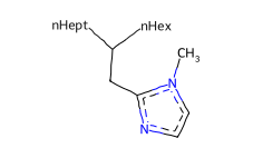 CCCCCCCC(CCCCCC)Cc1nccn1C